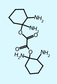 NC1CCCCC1(N)OC(=O)C(=O)OC1(N)CCCCC1N